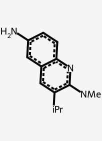 CNc1nc2ccc(N)cc2cc1C(C)C